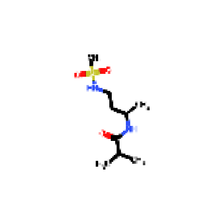 CC(C)C(=O)N[C@H](C)CCNS(C)(=O)=O